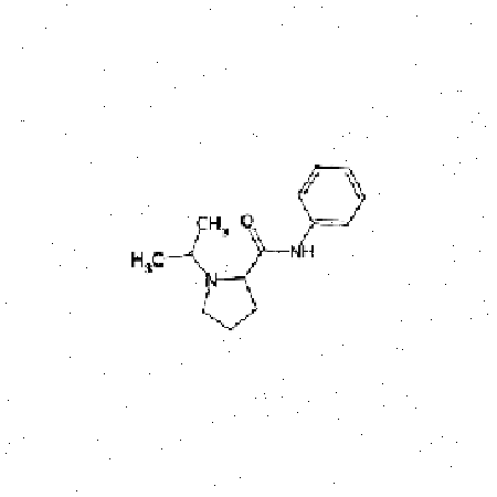 CC(C)N1CCCC1C(=O)Nc1ccccc1